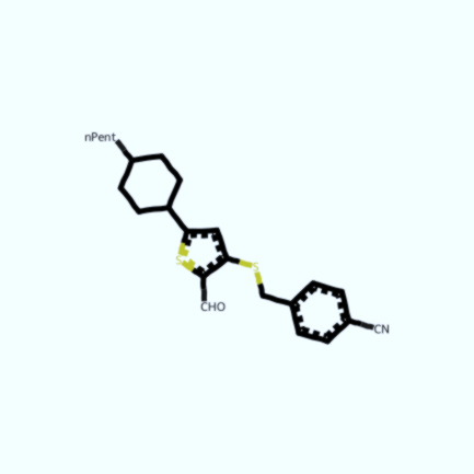 CCCCCC1CCC(c2cc(SCc3ccc(C#N)cc3)c(C=O)s2)CC1